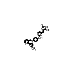 O=C1NC(O)/C(=C/c2ccnc(N[C@H]3CC[C@H](NCc4cccnc4-c4ccc(C(F)(F)F)s4)CC3)n2)S1